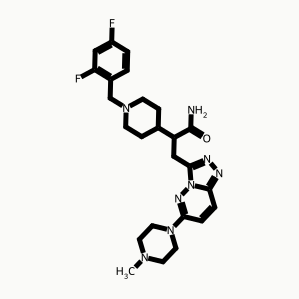 CN1CCN(c2ccc3nnc(CC(C(N)=O)C4CCN(Cc5ccc(F)cc5F)CC4)n3n2)CC1